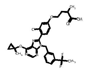 CC(CCOc1ccc(-c2nc3c(OC4(C)CC4)ncnc3n2Cc2cccc(C(C)(F)F)c2)c(Cl)c1)C(=O)O